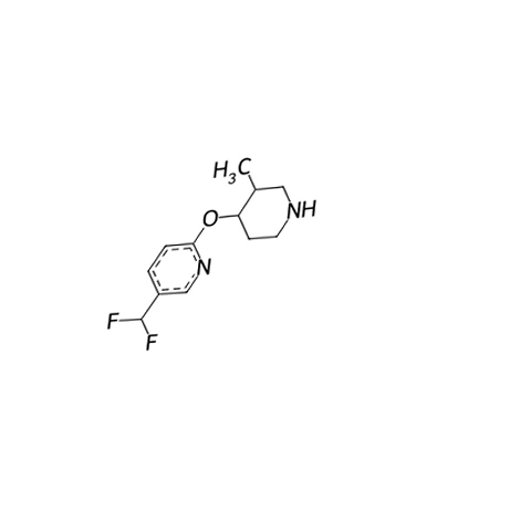 CC1CNCCC1Oc1ccc(C(F)F)cn1